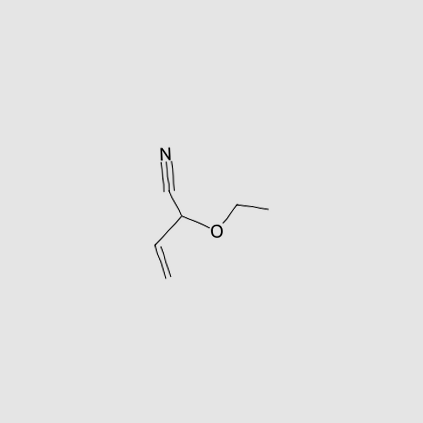 C=CC(C#N)OCC